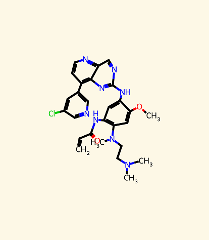 C=CC(=O)Nc1cc(Nc2ncc3nccc(-c4cncc(Cl)c4)c3n2)c(OC)cc1N(C)CCN(C)C